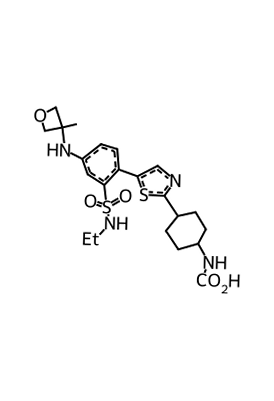 CCNS(=O)(=O)c1cc(NC2(C)COC2)ccc1-c1cnc(C2CCC(NC(=O)O)CC2)s1